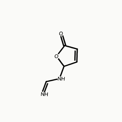 N=CNC1C=CC(=O)O1